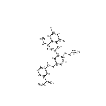 CNC(=O)c1cccc(OCc2ccc(CCC(=O)O)c(C(=O)NC(CC(C)C)c3cc(C)cc(C)c3)c2)c1